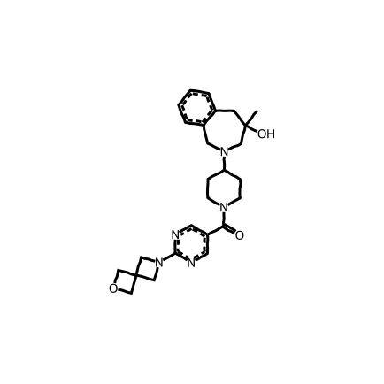 CC1(O)Cc2ccccc2CN(C2CCN(C(=O)c3cnc(N4CC5(COC5)C4)nc3)CC2)C1